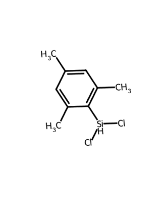 Cc1cc(C)c([SiH](Cl)Cl)c(C)c1